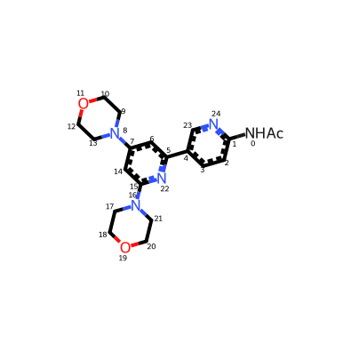 CC(=O)Nc1ccc(-c2cc(N3CCOCC3)cc(N3CCOCC3)n2)cn1